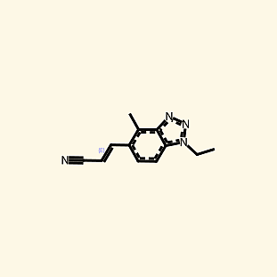 CCn1nnc2c(C)c(/C=C/C#N)ccc21